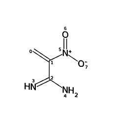 C=C(C(=N)N)[N+](=O)[O-]